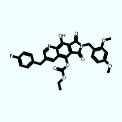 CCOC(=O)Oc1c2c(c(O)c3ncc(Cc4ccc(F)cc4)cc13)C(=O)N(Cc1ccc(OC)cc1OC)C2=O